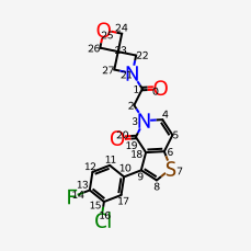 O=C(Cn1ccc2scc(-c3ccc(F)c(Cl)c3)c2c1=O)N1CC2(COC2)C1